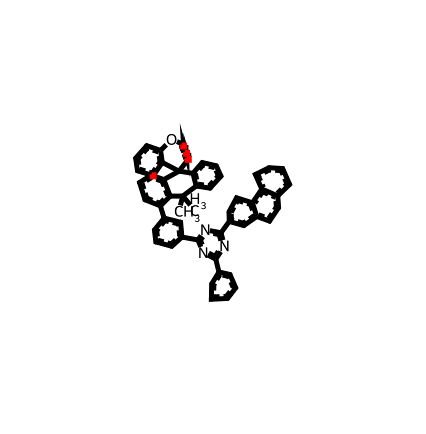 CC1(C)c2ccccc2C2(c3ccccc3Oc3ccccc32)c2cccc(-c3cccc(-c4nc(-c5ccccc5)nc(-c5ccc6c(ccc7ccccc76)c5)n4)c3)c21